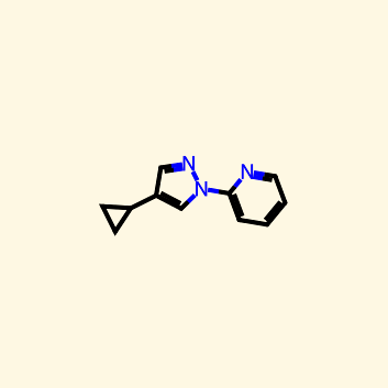 c1ccc(-n2cc(C3CC3)cn2)nc1